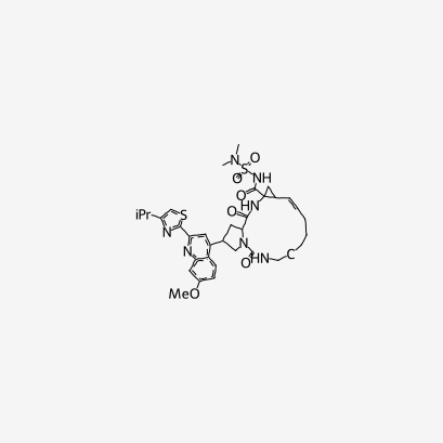 COc1ccc2c(C3CC4C(=O)NC5(C(=O)NS(=O)(=O)N(C)C)CC5C=CCCCCCNC(=O)N4C3)cc(-c3nc(C(C)C)cs3)nc2c1